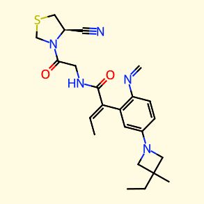 C=Nc1ccc(N2CC(C)(CC)C2)cc1/C(=C\C)C(=O)NCC(=O)N1CSC[C@H]1C#N